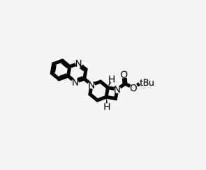 CC(C)(C)OC(=O)N1C[C@H]2CCN(c3cnc4ccccc4n3)C[C@H]21